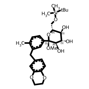 CO[C@@]1(c2ccc(C)c(Cc3ccc4c(c3)OCCO4)c2)O[C@H](CO[Si](C)(C)C(C)(C)C)[C@@H](O)[C@H](O)[C@H]1O